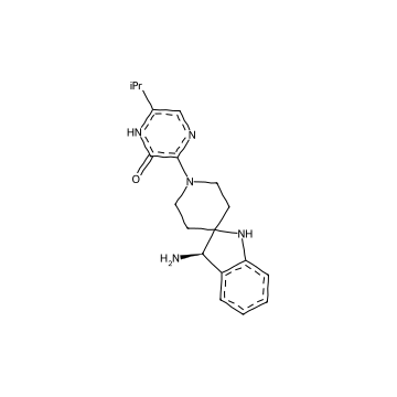 CC(C)c1cnc(N2CCC3(CC2)Nc2ccccc2[C@H]3N)c(=O)[nH]1